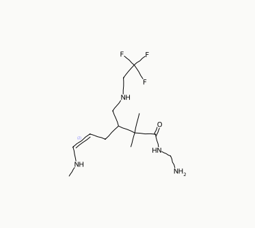 CN/C=C\CC(CNCC(F)(F)F)C(C)(C)C(=O)NCN